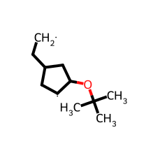 [CH2]CC1C[CH]C(OC(C)(C)C)C1